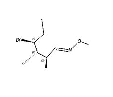 CC[C@H](Br)[C@@H](C)[C@H](C)C=NOC